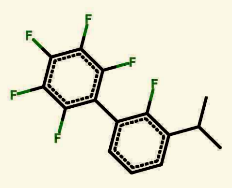 CC(C)c1cccc(-c2c(F)c(F)c(F)c(F)c2F)c1F